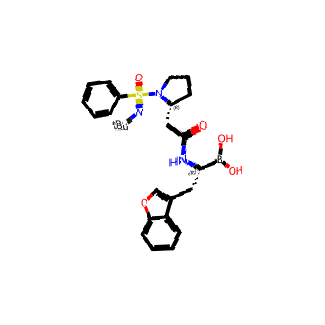 CC(C)(C)N=S(=O)(c1ccccc1)N1CCC[C@@H]1CC(=O)N[C@@H](Cc1coc2ccccc12)B(O)O